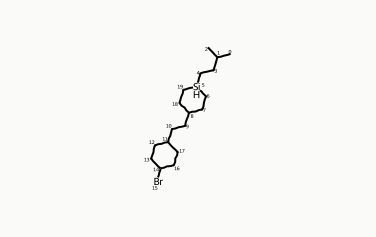 CC(C)CC[SiH]1CCC(CCC2CCC(Br)CC2)CC1